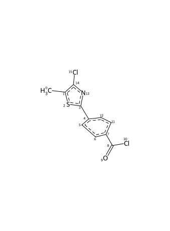 Cc1sc(-c2ccc(C(=O)Cl)cc2)nc1Cl